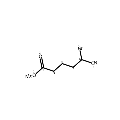 COC(=O)CCCC(Br)C#N